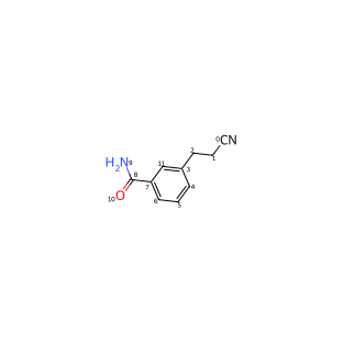 N#CCCc1cccc(C(N)=O)c1